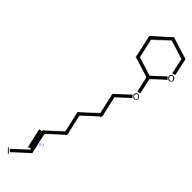 I/C=C/CCCCOC1CCCCO1